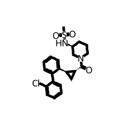 CS(=O)(=O)N[C@H]1CCCN(C(=O)[C@@H]2C[C@H]2c2ccccc2-c2ccccc2Cl)C1